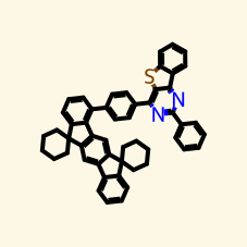 c1ccc(-c2nc(-c3ccc(-c4cccc5c4-c4cc6c(cc4C54CCCCC4)-c4ccccc4C64CCCCC4)cc3)c3sc4ccccc4c3n2)cc1